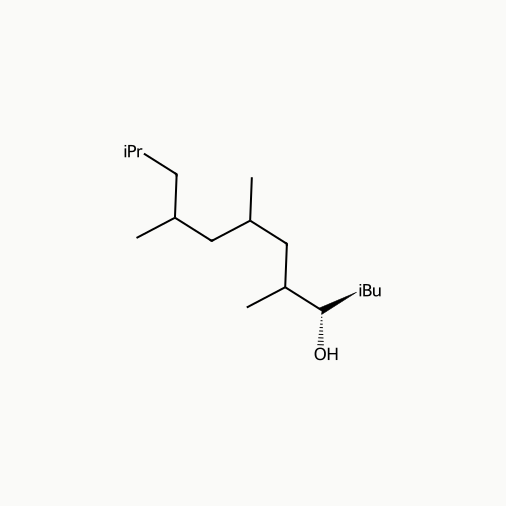 CC[C@H](C)[C@H](O)C(C)CC(C)CC(C)CC(C)C